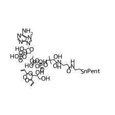 C=CC(=O)OC(C(=O)C=C)C(O)CO.CCCCCSCCNC(=O)CCNC(=O)C(O)C(C)(C)COP(=O)(O)OP(=O)(O)OC[C@H]1O[C@@H](n2cnc3c(N)ncnc32)[C@H](O)[C@@H]1OP(=O)(O)O